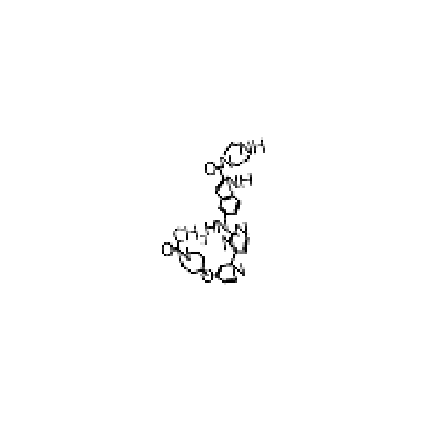 CC(=O)N1CCC(Oc2ccnc(-c3ccnc(Nc4ccc5[nH]c(C(=O)N6CCNCC6)cc5c4)n3)c2)CC1